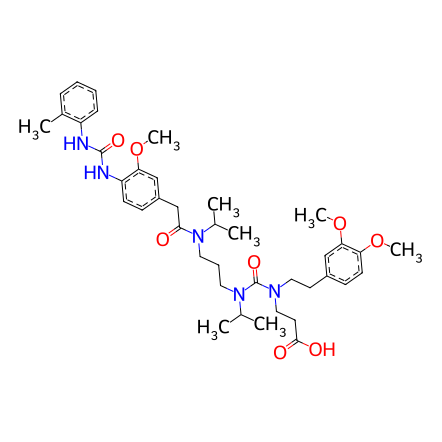 COc1cc(CC(=O)N(CCCN(C(=O)N(CCC(=O)O)CCc2ccc(OC)c(OC)c2)C(C)C)C(C)C)ccc1NC(=O)Nc1ccccc1C